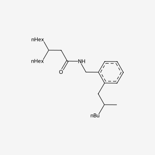 CCCCCCC(CCCCCC)CC(=O)NCc1ccccc1CC(C)CCCC